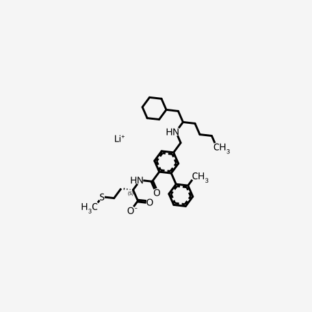 CCCCC(CC1CCCCC1)NCc1ccc(C(=O)N[C@@H](CCSC)C(=O)[O-])c(-c2ccccc2C)c1.[Li+]